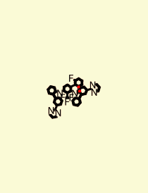 Fc1cccc(F)c1-c1ccc(-n2c3ccccc3c3cc(-c4ncccn4)ccc32)c(C(F)(F)F)c1-n1c2ccccc2c2cc(-c3ncccn3)ccc21